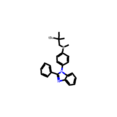 CB(CC(C)(C)C(C)(C)C)c1ccc(-n2c(-c3ccccc3)nc3ccccc32)cc1